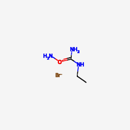 CCNC(N)=[O+]N.[Br-]